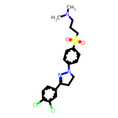 CN(C)CCCS(=O)(=O)c1ccc(N2CCC(c3ccc(Cl)c(Cl)c3)=N2)cc1